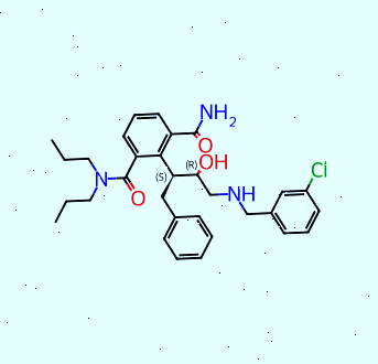 CCCN(CCC)C(=O)c1cccc(C(N)=O)c1[C@H](Cc1ccccc1)[C@@H](O)CNCc1cccc(Cl)c1